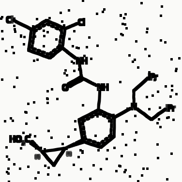 CC(C)CN(CC(C)C)c1ccc([C@H]2C[C@H]2C(=O)O)cc1NC(=O)Nc1ccc(Cl)cc1Cl